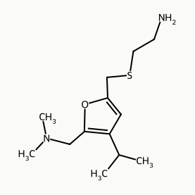 CC(C)c1cc(CSCCN)oc1CN(C)C